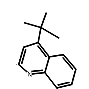 CC(C)(C)c1c[c]nc2ccccc12